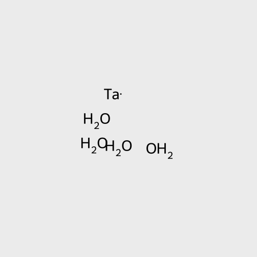 O.O.O.O.[Ta]